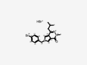 Br.CC(C)Cc1nn(C)c(=O)c2cn(Cc3ccc(Br)cc3)cc12